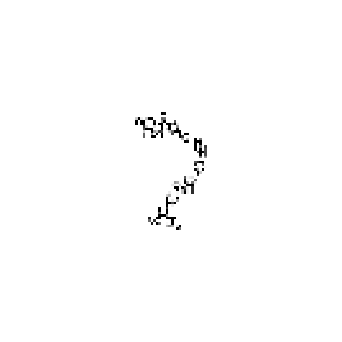 N#Cc1ccc(N2CCC(C(=O)Nc3ccc(N4CCC(CN5CCN(C[C@H]6CCN(c7ccc8c(c7)C(=O)N(C7CCC(=O)NC7=O)C8=O)C6)CC5)CC4)cc3)CC2)cc1C(F)(F)F